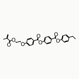 C=C(C)C(=O)OCCOc1ccc(C(=O)Oc2ccc(C(=O)Oc3ccc(CC)cc3)cc2)cc1